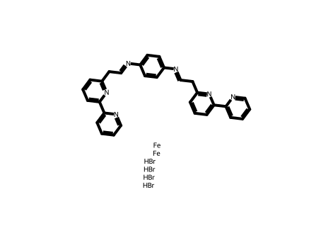 Br.Br.Br.Br.C(Cc1cccc(-c2ccccn2)n1)=Nc1ccc(N=CCc2cccc(-c3ccccn3)n2)cc1.[Fe].[Fe]